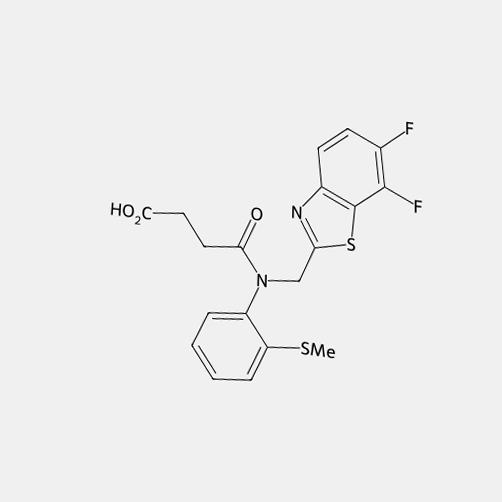 CSc1ccccc1N(Cc1nc2ccc(F)c(F)c2s1)C(=O)CCC(=O)O